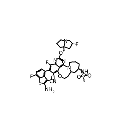 CS(=O)(=O)NC1CCCN2c3nc(OCC45CCCN4C[C@H](F)C5)nc4c(F)c(-c5ccc(F)c6sc(N)c(C#N)c56)c(Cl)c(c34)OCCC2C1